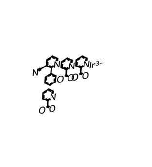 N#Cc1cccnc1-c1ccccc1.O=C([O-])c1ccccn1.O=C([O-])c1ccccn1.O=C([O-])c1ccccn1.[Ir+3]